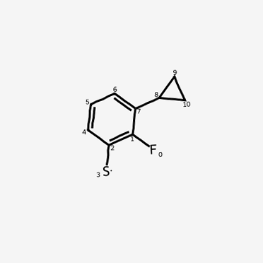 Fc1c([S])cccc1C1CC1